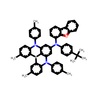 Cc1ccc(N2c3ccc(C)cc3B3c4cc(C)ccc4N(c4ccc(C)cc4)c4cc(N(c5ccc(C(C)(C)C)cc5)c5cccc6c5oc5ccccc56)cc2c43)cc1